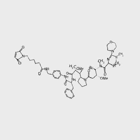 CC[C@H](C)[C@@H]([C@@H](CC(=O)N1CCCC1[C@H](OC)[C@@H](C)C(=O)NC(Cc1ccccc1)C(=O)Nc1ccc(CNC(=O)CCCCCN2C(=O)C=CC2=O)cc1)OC)N(C)C(=O)C(N=C(N(C)C)N1CCOCC1)C(C)C